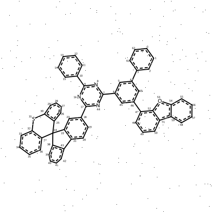 c1ccc(-c2cc(-c3nc(-c4ccccc4)nc(-c4ccc5c(c4)C4(c6ccccc6Sc6ccccc64)c4ccccc4-5)n3)cc(-c3cccc4c3oc3ccccc34)c2)cc1